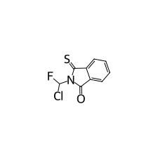 O=C1c2ccccc2C(=S)N1C(F)Cl